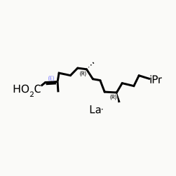 C/C(=C\C(=O)O)CCC[C@H](C)CCC[C@H](C)CCCC(C)C.[La]